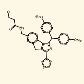 COc1ccc(C(c2ccc(OC)cc2)n2nc(-c3ccsc3)c3c2-c2ccc(CNC(=O)CCCl)cc2C3)cc1